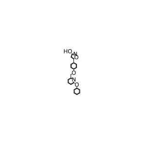 Oc1cc(-c2ccc(OCc3cccc(Oc4ccccc4)n3)cc2)on1